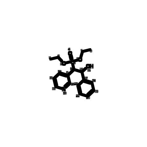 CCOP(=O)(OCC)C(c1cccnc1)C(O)c1ccccc1